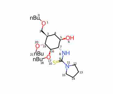 CCCCOC[C@H]1C[C@@H](O)[C@H](NC(=S)N2CCCC2)[C@@H](OCCCC)[C@@H]1OCCCC